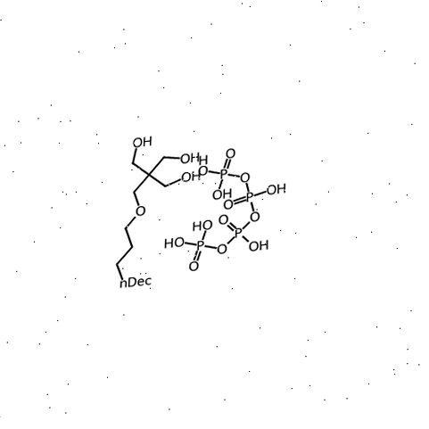 CCCCCCCCCCCCCOCC(CO)(CO)CO.O=P(O)(O)OP(=O)(O)OP(=O)(O)OP(=O)(O)O